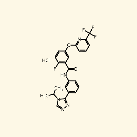 CC(C)n1cnnc1-c1cccc(NC(=O)c2cc(Oc3cccc(C(F)(F)F)n3)ccc2F)c1.Cl